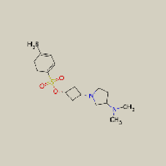 BC1=CC=C(S(=O)(=O)O[C@H]2C[C@@H](N3CCC(N(C)C)C3)C2)CC1